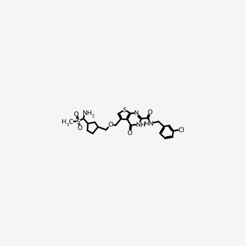 CS(=O)(=O)C(N)C1CCC(COCc2csc3nc(C(=O)NCc4cccc(Cl)c4)[nH]c(=O)c23)C1